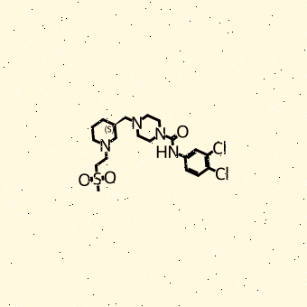 CS(=O)(=O)CCN1CCC[C@@H](CN2CCN(C(=O)Nc3ccc(Cl)c(Cl)c3)CC2)C1